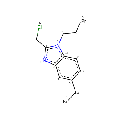 CC(C)CCn1c(CCl)nc2cc([CH]C(C)(C)C)ccc21